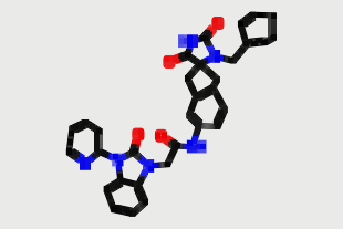 O=C(Cn1c(=O)n(-c2ccccn2)c2ccccc21)Nc1ccc2c(c1)CC1(C2)C(=O)NC(=O)N1Cc1ccccc1